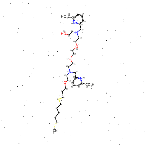 N#CSCCCCCSCCCOCCN(CCOCCOCCN(CCO)Cc1cccc(C(=O)O)n1)Cc1cccc(C(=O)O)n1